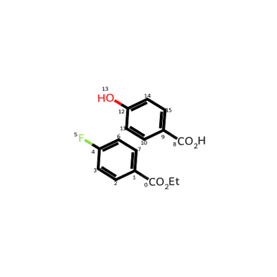 CCOC(=O)c1ccc(F)cc1.O=C(O)c1ccc(O)cc1